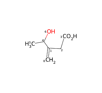 C=C(CC(=O)O)C(C)O